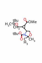 COC(=O)C1C(CO[Si](C)(C)C(C)(C)C)C1C1COC(C)(C)N1C(=O)OC(C)(C)C